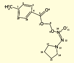 [CH2]c1ccc(C(=O)OCO/[N+]([O-])=N\N2CCCC2)cc1